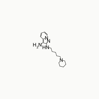 Nc1c(NCCCCCN2CCCCC2)nn2ccccc12